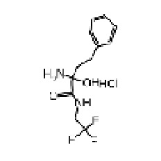 Cl.NC(O)(CCc1ccccc1)C(=O)NCC(F)(F)F